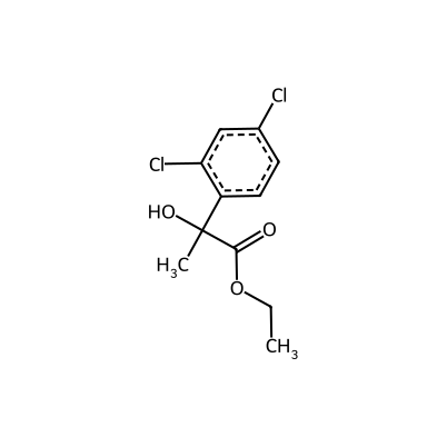 CCOC(=O)C(C)(O)c1ccc(Cl)cc1Cl